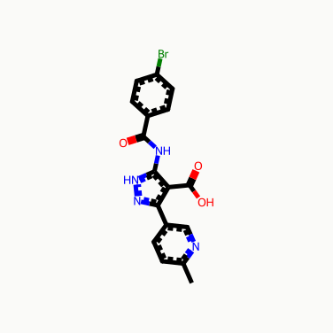 Cc1ccc(-c2n[nH]c(NC(=O)c3ccc(Br)cc3)c2C(=O)O)cn1